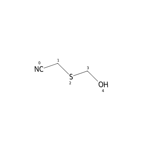 N#CCSCO